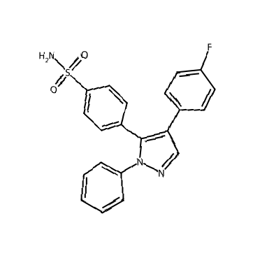 NS(=O)(=O)c1ccc(-c2c(-c3ccc(F)cc3)cnn2-c2ccccc2)cc1